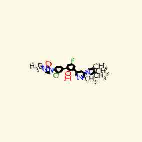 Cc1ncc(-c2cc(F)cc(-c3ccc(-n4ccn(C)c4=O)c(Cl)c3)c2O)cc1N1C[C@H](C)C(C)(C)C1